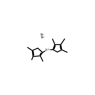 CC1=C(C)C(C)=[C]([Zr+2][C]2=C(C)C(C)=C(C)C2)C1.[Br-].[Br-]